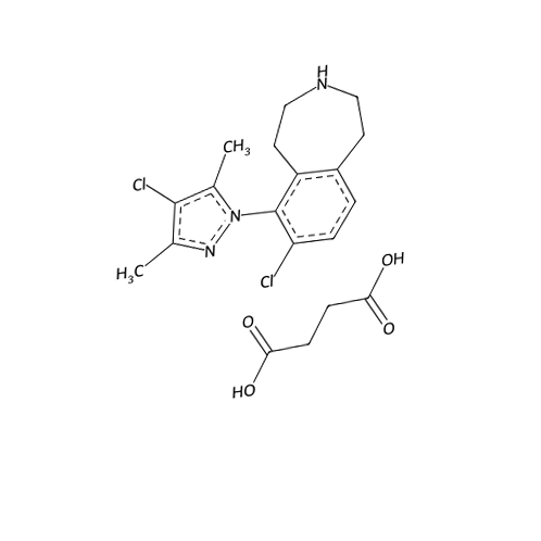 Cc1nn(-c2c(Cl)ccc3c2CCNCC3)c(C)c1Cl.O=C(O)CCC(=O)O